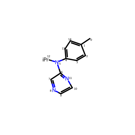 Cc1ccc(N(c2cnccn2)C(C)C)cc1